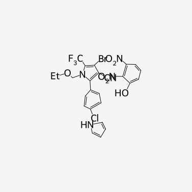 CCOCn1c(-c2ccc(Cl)cc2)c(C#N)c(Br)c1C(F)(F)F.O=[N+]([O-])c1cccc(O)c1[N+](=O)[O-].c1cc[nH]c1